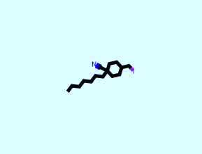 CCCCCCCC1(C#N)CCC(CI)CC1